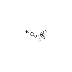 CCOC(=O)N(C)C1C2CCC1CN(CCOc1ccc(C#N)cc1)C2